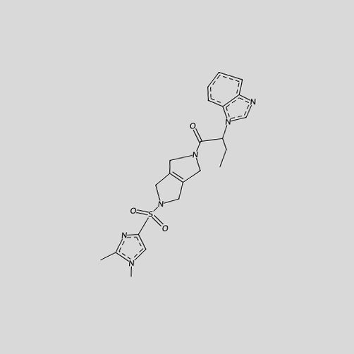 CCC(C(=O)N1CC2=C(C1)CN(S(=O)(=O)c1cn(C)c(C)n1)C2)n1cnc2ccccc21